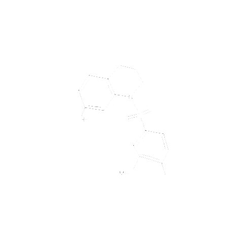 COc1cc(S(=O)(=O)N2CCCc3ccc(O)cc32)ccc1F